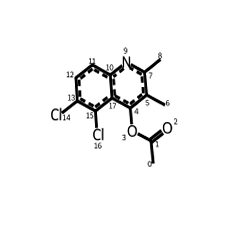 CC(=O)Oc1c(C)c(C)nc2ccc(Cl)c(Cl)c12